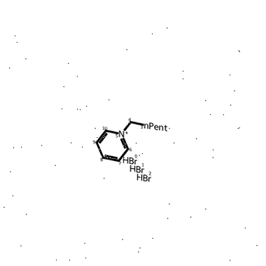 Br.Br.Br.CCCCCC[n+]1ccccc1